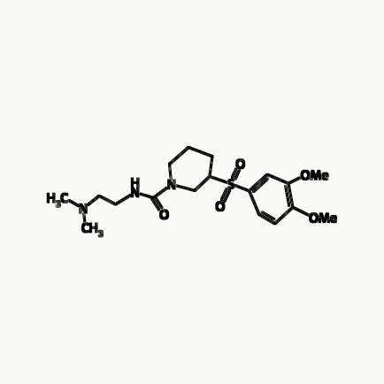 COc1ccc(S(=O)(=O)C2CCCN(C(=O)NCCN(C)C)C2)cc1OC